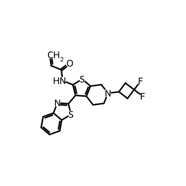 C=CC(=O)Nc1sc2c(c1-c1nc3ccccc3s1)CCN(C1CC(F)(F)C1)C2